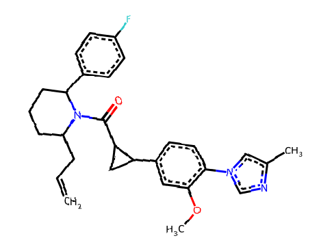 C=CCC1CCCC(c2ccc(F)cc2)N1C(=O)C1CC1c1ccc(-n2cnc(C)c2)c(OC)c1